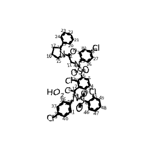 O=C(O)C(c1cccc(S(=O)(=O)N(CC(=O)N2CCCC2c2ccccc2)c2ccc(Cl)cc2)c1Cl)N(c1ccc(Cl)cc1)S(=O)(=O)c1ccccc1Cl